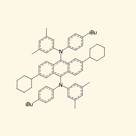 CCC(C)c1ccc(N(c2cc(C)cc(C)c2)c2c3ccc(C4CCCCC4)cc3c(N(c3ccc(C(C)CC)cc3)c3cc(C)cc(C)c3)c3ccc(C4CCCCC4)cc23)cc1